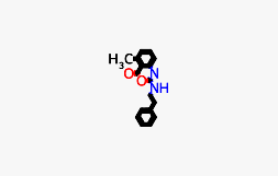 Cc1cccc2nc(NCCc3ccccc3)oc(=O)c12